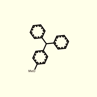 COc1ccc([C](c2ccccc2)c2ccccc2)cc1